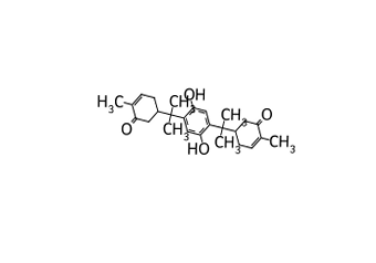 CC1=CCC(C(C)(C)c2cc(O)c(C(C)(C)C3CC=C(C)C(=O)C3)cc2O)CC1=O